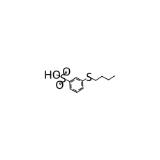 CCCCSc1cccc(S(=O)(=O)O)c1